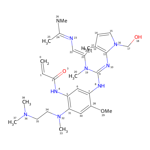 C=CC(=O)Nc1cc(N/C(=N/c2c(C)ccn2CO)N(C)/C(=C/N=C(\C)NC)CC)c(OC)cc1N(C)CCN(C)C